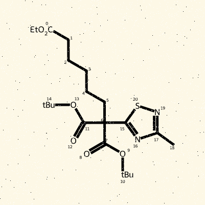 CCOC(=O)CCCCCC(C(=O)OC(C)(C)C)(C(=O)OC(C)(C)C)c1nc(C)ns1